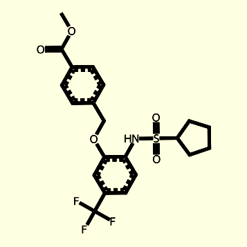 COC(=O)c1ccc(COc2cc(C(F)(F)F)ccc2NS(=O)(=O)C2CCCC2)cc1